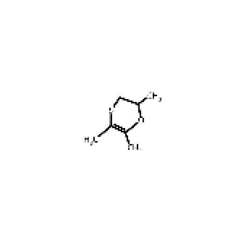 CC1=C(C)SCC(C)O1